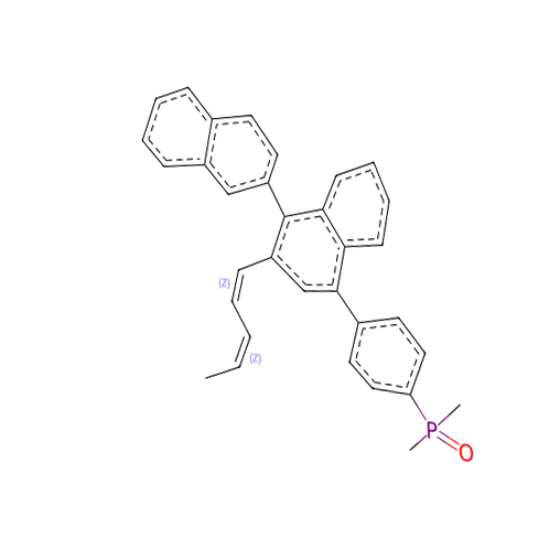 C/C=C\C=C/c1cc(-c2ccc(P(C)(C)=O)cc2)c2ccccc2c1-c1ccc2ccccc2c1